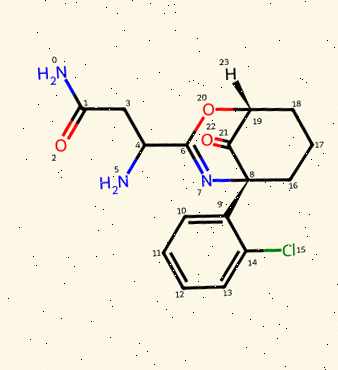 NC(=O)CC(N)C1=N[C@@]2(c3ccccc3Cl)CCC[C@@H](O1)C2=O